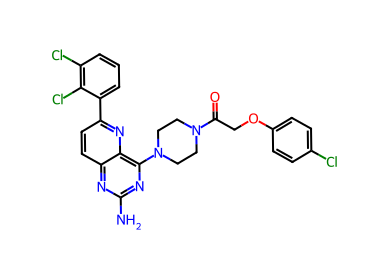 Nc1nc(N2CCN(C(=O)COc3ccc(Cl)cc3)CC2)c2nc(-c3cccc(Cl)c3Cl)ccc2n1